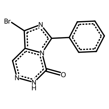 O=c1[nH]ncc2c(Br)nc(-c3ccccc3)n12